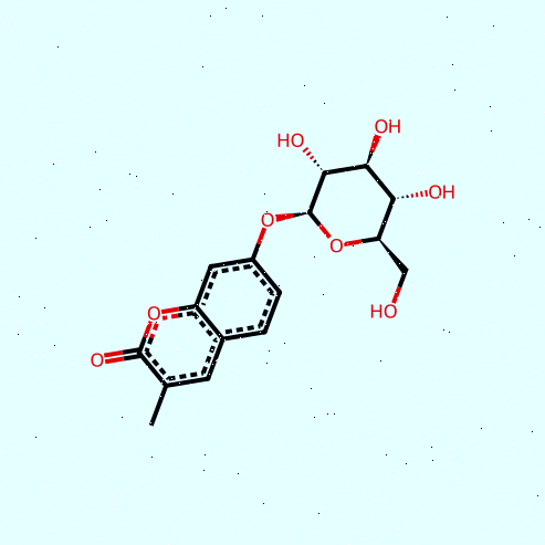 Cc1cc2ccc(O[C@@H]3O[C@H](CO)[C@@H](O)[C@H](O)[C@H]3O)cc2oc1=O